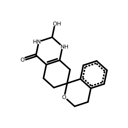 O=C1NC(O)NC2=C1CCC1(C2)OCCc2ccccc21